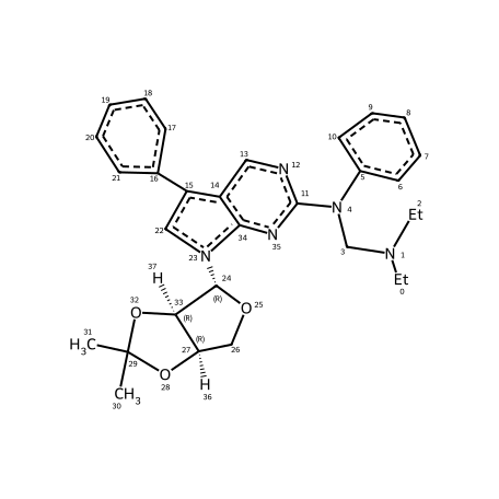 CCN(CC)CN(c1ccccc1)c1ncc2c(-c3ccccc3)cn([C@@H]3OC[C@H]4OC(C)(C)O[C@@H]34)c2n1